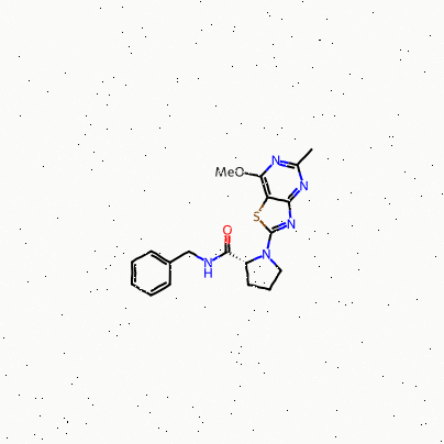 COc1nc(C)nc2nc(N3CCC[C@@H]3C(=O)NCc3ccccc3)sc12